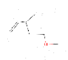 C=C[C](CC)CCOC